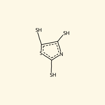 Sc1nc(S)c(S)s1